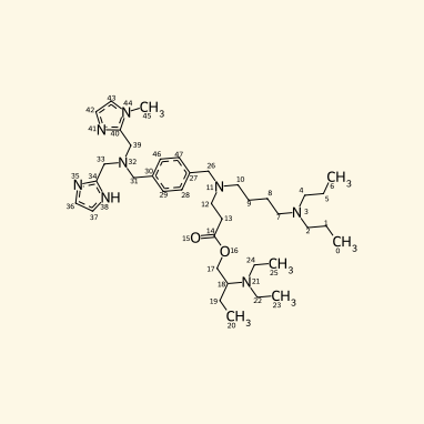 CCCN(CCC)CCCCN(CCC(=O)OCC(CC)N(CC)CC)Cc1ccc(CN(Cc2ncc[nH]2)Cc2nccn2C)cc1